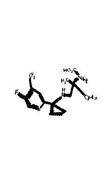 CC(C)(CNC1(c2cc(C(F)(F)F)c(F)cn2)CC1)NC(=O)O